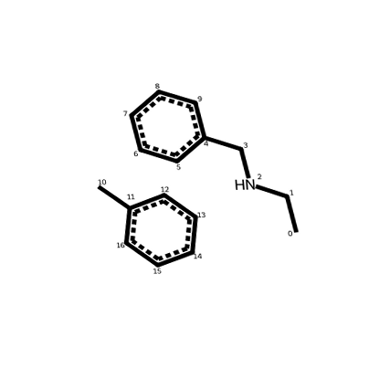 CCNCc1ccccc1.Cc1ccccc1